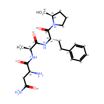 C[C@H](NC(=O)[C@@H](N)CC(N)=O)C(=O)N[C@@H](CCc1ccccc1)C(=O)N1CCC[C@@H]1C(=O)O